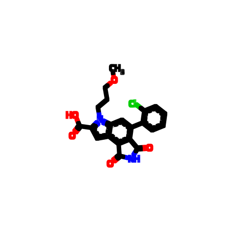 COCCCn1c(C(=O)O)cc2c3c(c(-c4ccccc4Cl)cc21)C(=O)NC3=O